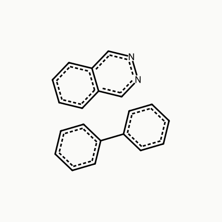 c1ccc(-c2ccccc2)cc1.c1ccc2cnncc2c1